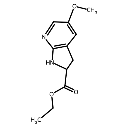 CCOC(=O)C1Cc2cc(OC)cnc2N1